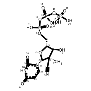 C[C@@]1(C#N)[C@H](O)[C@@H](COP(=O)(O)OP(=O)(O)OP(=O)(O)O)O[C@H]1n1ccc(=O)[nH]c1=O